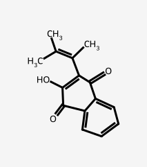 CC(C)=C(C)C1=C(O)C(=O)c2ccccc2C1=O